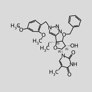 CC[C@@]1(c2cn(Cc3ccc(OC)cc3OC)nn2)O[C@@H](n2cc(C)c(=O)[nH]c2=O)[C@@H](O)C1OCc1ccccc1